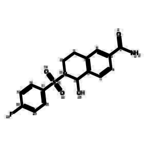 NC(=O)c1ccc2c(c1)CCN(S(=O)(=O)c1ccc(F)cc1)C2O